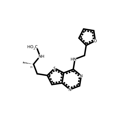 C[C@@H](Cc1cc2ncnc(NCc3ccco3)c2s1)NC(=O)O